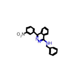 O=[N+]([O-])c1cccc(-c2nnc(NCc3ccccc3)c3ccccc23)c1